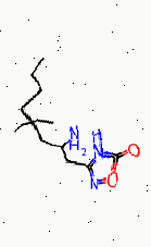 CCCCC(C)(C)CC(N)Cc1noc(=O)[nH]1